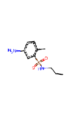 CCCNS(=O)(=O)c1cc(N)ccc1C